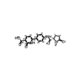 CN1C(=O)CC[C@H]1C(=O)Nc1ccc(-c2ccc(C(=O)O)c(=O)[nH]2)cc1